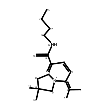 C=C(/C=C\C(=C(C)C)N1CCC(C)(C)C1)C(=C)NCCCC